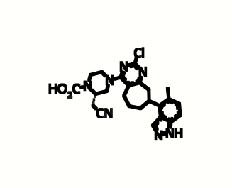 Cc1ccc2[nH]ncc2c1C1CCCc2c(nc(Cl)nc2N2CCN(C(=O)O)[C@@H](CC#N)C2)C1